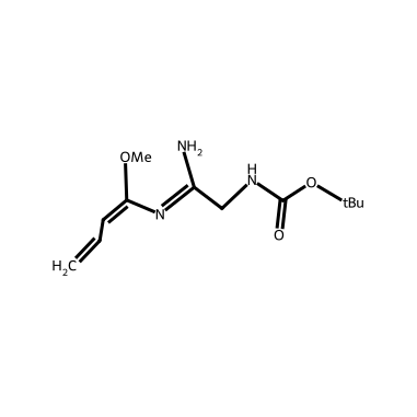 C=C/C=C(\N=C(/N)CNC(=O)OC(C)(C)C)OC